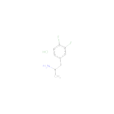 CC(N)Cc1ccc(F)c(F)c1.Cl